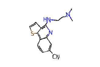 CN(C)CCNc1nc2cc(C#N)ccc2c2sccc12